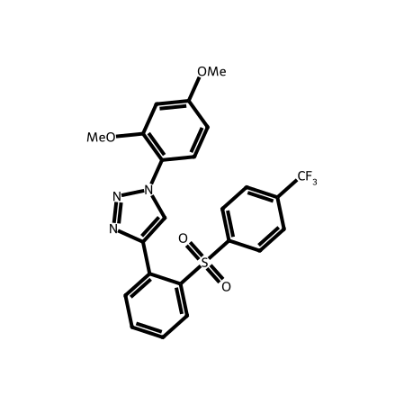 COc1ccc(-n2cc(-c3ccccc3S(=O)(=O)c3ccc(C(F)(F)F)cc3)nn2)c(OC)c1